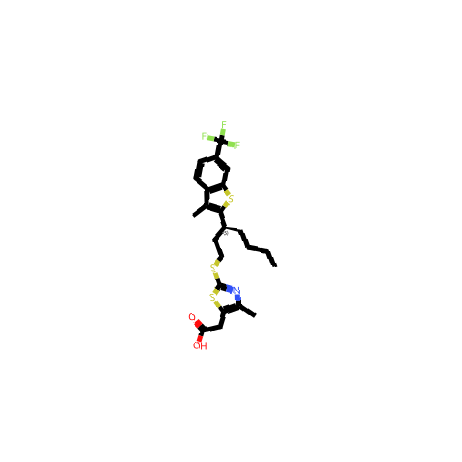 CCCC[C@@H](CCSc1nc(C)c(CC(=O)O)s1)c1sc2cc(C(F)(F)F)ccc2c1C